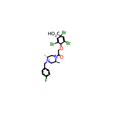 C[C@@H]1CN(C(=O)COC2C(Br)=CC(Br)(C(=O)O)C=C2Br)[C@@H](C)CN1Cc1ccc(F)cc1